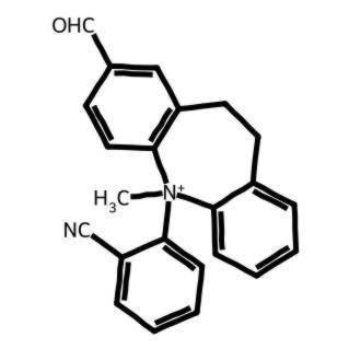 C[N+]1(c2ccccc2C#N)c2ccccc2CCc2cc(C=O)ccc21